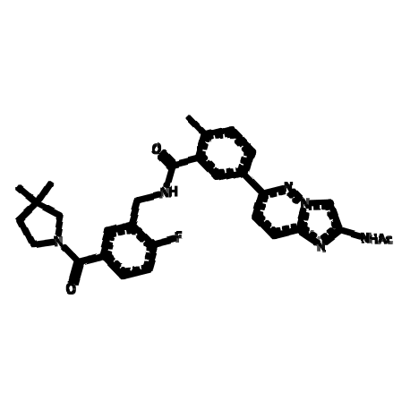 CC(=O)Nc1cn2nc(-c3ccc(C)c(C(=O)NCc4cc(C(=O)N5CCC(C)(C)C5)ccc4F)c3)ccc2n1